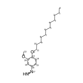 CCCCCCCCCCCCOc1ccc(N=N)cc1OC